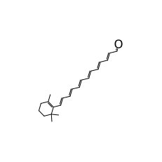 CC1=C(/C=C/C=C/C=C/C=C/C=C/C=C/C=O)C(C)(C)CCC1